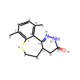 Cc1ccc(C)c2c1SCCC1CC(=O)NN=C21